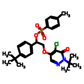 Cc1ccc(S(=O)(=O)OC(COc2cnn(C(C)(C)C)c(=O)c2Cl)c2ccc(C(C)(C)C)cc2)cc1